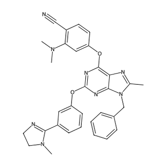 Cc1nc2c(Oc3ccc(C#N)c(N(C)C)c3)nc(Oc3cccc(C4=NCCN4C)c3)nc2n1Cc1ccccc1